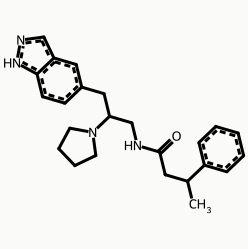 CC(CC(=O)NCC(Cc1ccc2[nH]ncc2c1)N1CCCC1)c1ccccc1